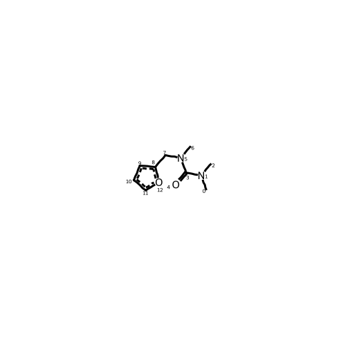 CN(C)C(=O)N(C)Cc1ccco1